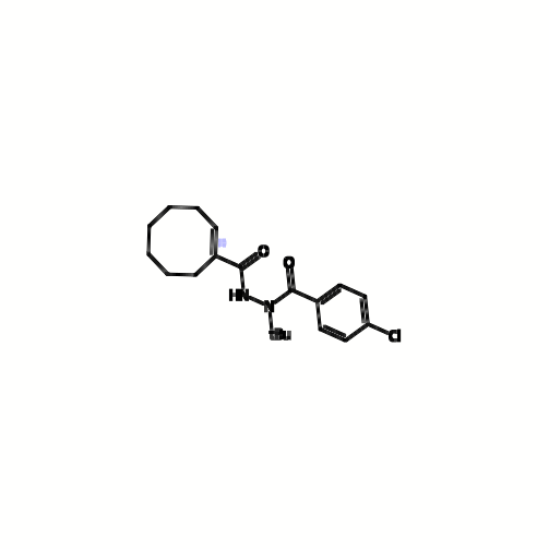 CC(C)(C)N(NC(=O)/C1=C/CCCCCC1)C(=O)c1ccc(Cl)cc1